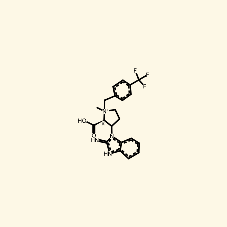 C[N+]1(Cc2ccc(C(F)(F)F)cc2)CCC(n2c(=N)[nH]c3ccccc32)[C@H]1C(=O)O